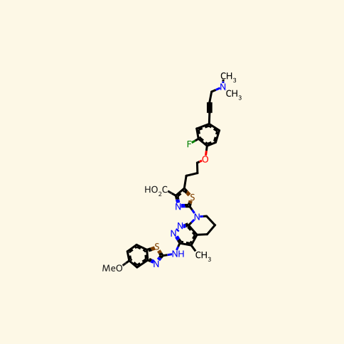 COc1ccc2sc(Nc3nnc4c(c3C)CCCN4c3nc(C(=O)O)c(CCCOc4ccc(C#CCN(C)C)cc4F)s3)nc2c1